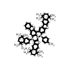 Cc1ccc(N2B3c4oc5cc6c(cc5c4N(c4ccc5c(c4)C(C)(C)CCC5(C)C)c4cc5c(oc7ccccc75)c(c43)-c3cc4c(cc32)oc2cc3c(cc24)C(C)(C)CCC3(C)C)C(C)(C)CCC6(C)C)cc1